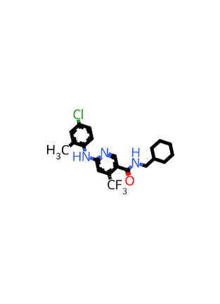 Cc1cc(Cl)ccc1Nc1cc(C(F)(F)F)c(C(=O)NCC2CCCCC2)cn1